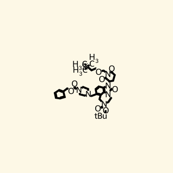 CC(C)(C)OC(=O)N1CCn2c(=O)n(C3CCC(=O)N(COCC[Si](C)(C)C)C3=O)c3ccc(CN4CCN(C(=O)OCc5ccccc5)CC4)c(c32)C1